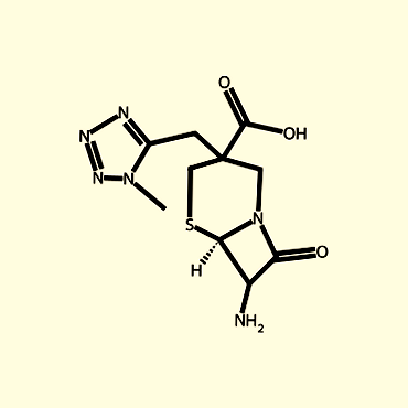 Cn1nnnc1CC1(C(=O)O)CS[C@@H]2C(N)C(=O)N2C1